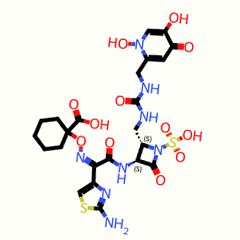 Nc1nc(C(=NOC2(C(=O)O)CCCCC2)C(=O)N[C@@H]2C(=O)N(S(=O)(=O)O)[C@H]2CNC(=O)NCc2cc(=O)c(O)cn2O)cs1